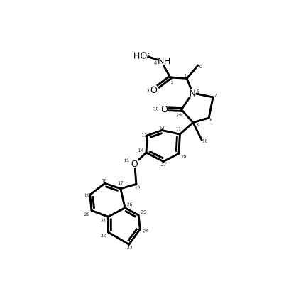 CC(C(=O)NO)N1CCC(C)(c2ccc(OCc3cccc4ccccc34)cc2)C1=O